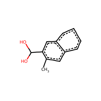 Cc1cc2ccccc2cc1C(O)O